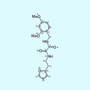 COc1ccc(CNC(=O)C(=O)NCCc2ccco2)c(OC)c1